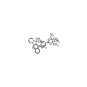 C/C=C(\C=C/C(C)c1c2c(nc3ccccc13)C1C=CC=CC1C2(C)C)B1OC(C)(C)C(C)(C)O1